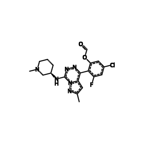 Cc1cc2c(-c3c(F)cc(Cl)cc3OC=O)nnc(N[C@@H]3CCCN(C)C3)n2n1